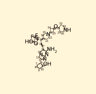 Nc1nc2nc(-c3ccccc3O)cn2cc1C#CCC1CCN(C2CC(OC3CCNCC3)C2)CC1.O=C(O)C(F)(F)F